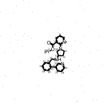 CC(C)OC(=O)c1cccnc1N1CCC(NCc2ccccc2-c2cccnc2)C1